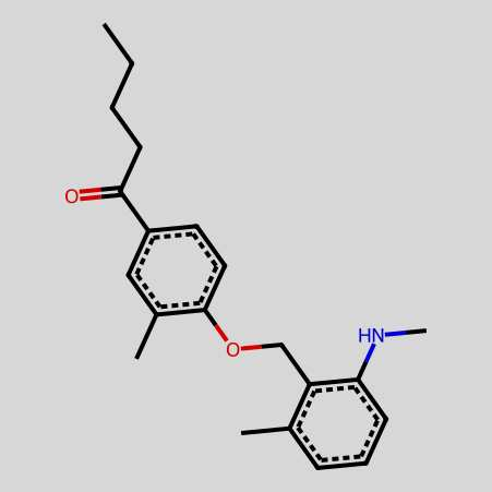 CCCCC(=O)c1ccc(OCc2c(C)cccc2NC)c(C)c1